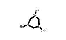 CCCCN1CN(CCCC)CN(CCCC)C1